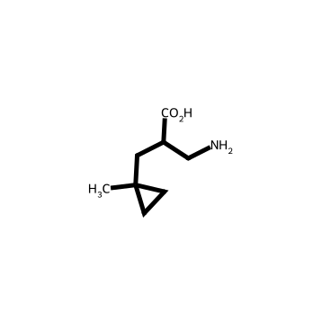 CC1(CC(CN)C(=O)O)CC1